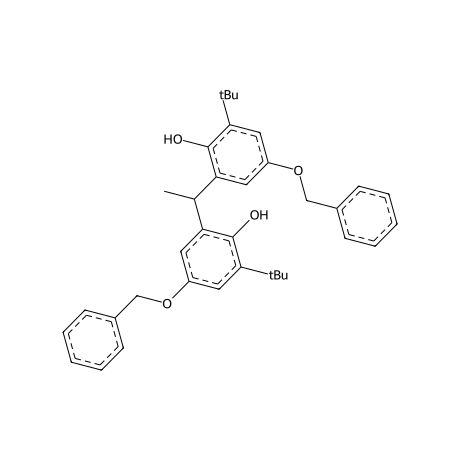 CC(c1cc(OCc2ccccc2)cc(C(C)(C)C)c1O)c1cc(OCc2ccccc2)cc(C(C)(C)C)c1O